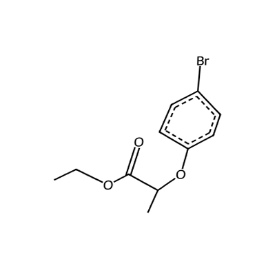 CCOC(=O)C(C)Oc1ccc(Br)cc1